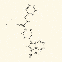 N[N+]12C=CN=CC1=C(C1CCN(C(=O)OCc3ccccc3)CC1)N=C2Br